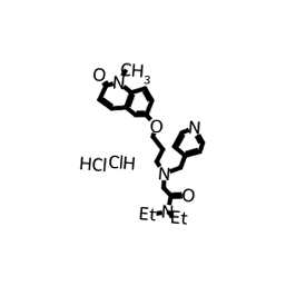 CCN(CC)C(=O)CN(CCCOc1ccc2c(ccc(=O)n2C)c1)Cc1ccncc1.Cl.Cl